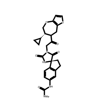 CNC(=O)Nc1ccc2c(c1)CC[C@]21NC(=O)N(CC(=O)C2Cc3sccc3OC[C@H]2C2CC2)C1=O